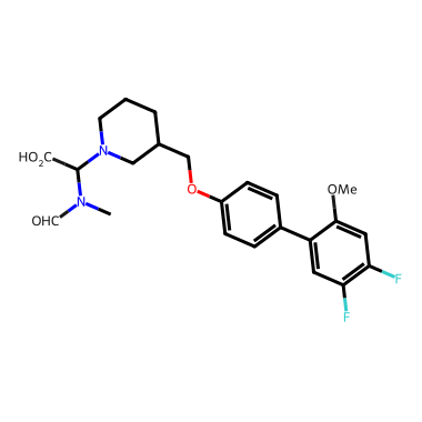 COc1cc(F)c(F)cc1-c1ccc(OCC2CCCN(C(C(=O)O)N(C)C=O)C2)cc1